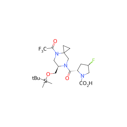 CC(C)(C)[Si](C)(C)OC[C@H]1CN(C(=O)C(F)(F)F)C2(CC2)CN1C(=O)[C@@H]1C[C@@H](F)CN1C(=O)O